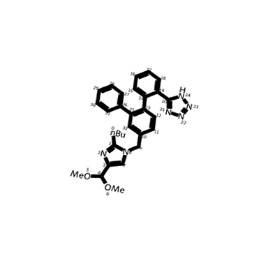 CCCCc1nc(C(OC)OC)cn1Cc1ccc(-c2ccccc2-c2nnn[nH]2)c(-c2ccccc2)c1